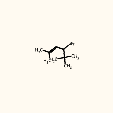 BC(C)(C)C(C=C(C)C)C(C)C